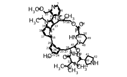 CCn1c(-c2cccnc2COC)c2c3cc(ccc31)-c1cc(O)cc(c1)C[C@H](NC(=O)C(C(C)C)N(C)C(=O)[C@H]1CCNC1)C(=O)N1CCC[C@H](N1)C(=O)OCC(C)(C)C2